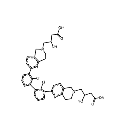 O=C(O)CC(O)CN1CCc2nc(-c3cccc(-c4cccc(-c5ccc6c(n5)CCN(CC(O)CC(=O)O)C6)c4Cl)c3Cl)ccc2C1